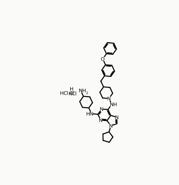 Cl.Cl.Cl.NC1CCC(Nc2nc(NN3CCC(Cc4cccc(Oc5ccccc5)c4)CC3)c3ncn(C4CCCC4)c3n2)CC1